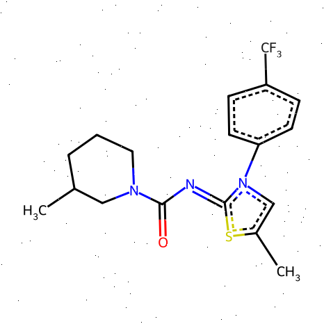 Cc1cn(-c2ccc(C(F)(F)F)cc2)/c(=N/C(=O)N2CCCC(C)C2)s1